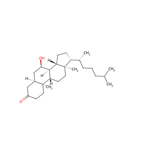 CC(C)CCC[C@@H](C)[C@H]1CC[C@H]2[C@@H]3[C@H](O)C[C@@H]4CC(=O)CC[C@]4(C)[C@H]3CC[C@]12C